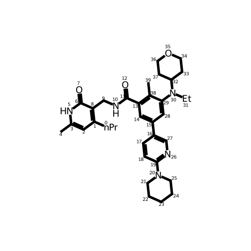 CCCc1cc(C)[nH]c(=O)c1CNC(=O)c1cc(-c2ccc(N3CCCCC3)nc2)cc(N(CC)C2CCOCC2)c1C